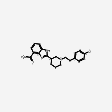 NC(=O)c1cccc2[nH]c(C3CCCN(CCc4ccc(Cl)cc4)C3)nc12